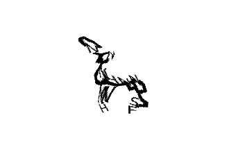 Fc1ccc(-c2ccnc3[nH]c(-c4n[nH]c5ccc(-c6cncc(CN7CCCC7)c6)nc45)cc23)s1